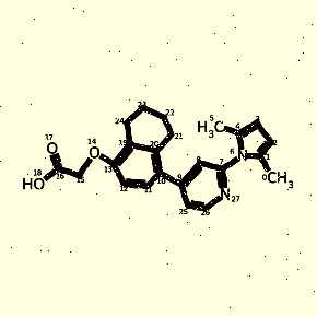 Cc1ccc(C)n1-c1cc(-c2ccc(OCC(=O)O)c3c2CCCC3)ccn1